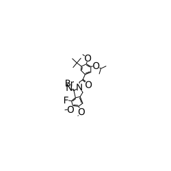 COc1cc2c(c(F)c1OC)/C(=N/Br)N(CC(=O)c1cc(OC(C)C)c(OC)c(C(C)(C)C)c1)C2